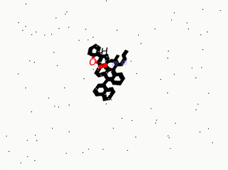 C=C/C=C\C(=C(/C)c1ccc2c(c1)[C@@H]1C=CC=CC1O2)c1c2ccccc2c(-c2cccc3ccccc23)c2ccccc12